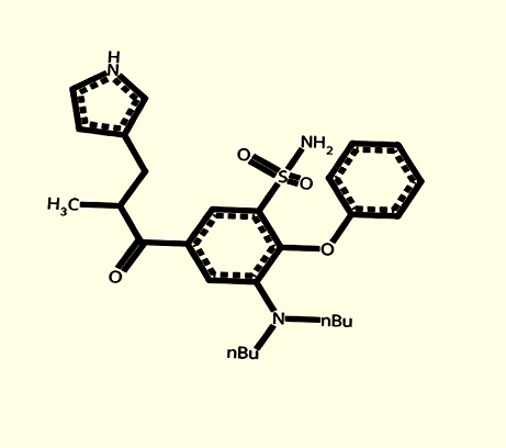 CCCCN(CCCC)c1cc(C(=O)C(C)Cc2cc[nH]c2)cc(S(N)(=O)=O)c1Oc1ccccc1